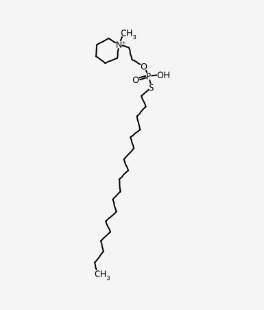 CCCCCCCCCCCCCCCCCCSP(=O)(O)OCC[N+]1(C)CCCCC1